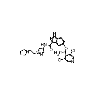 CC(Oc1ccc2[nH]nc(C(=O)Nc3cnn(CCN4CCCC4)c3)c2c1)c1c(Cl)cncc1Cl